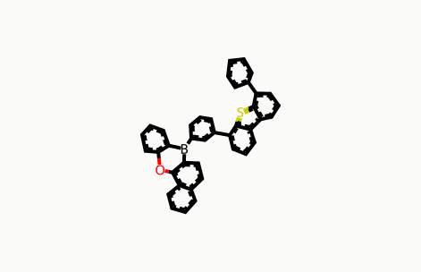 c1ccc(-c2cccc3c2sc2c(-c4cccc(B5c6ccccc6Oc6c5ccc5ccccc65)c4)cccc23)cc1